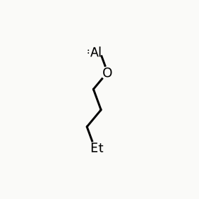 CCCCC[O][Al]